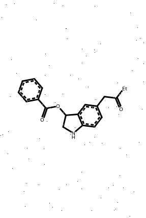 CCC(=O)Cc1ccc2c(c1)C(OC(=O)c1ccccc1)CN2